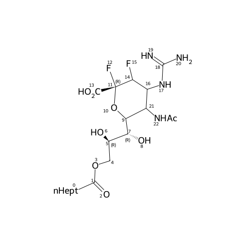 CCCCCCCC(=O)OC[C@@H](O)[C@@H](O)C1O[C@@](F)(C(=O)O)C(F)C(NC(=N)N)C1NC(C)=O